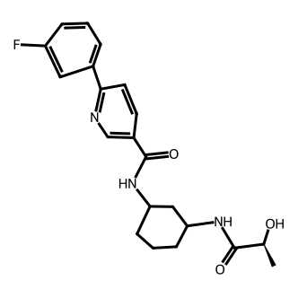 C[C@H](O)C(=O)NC1CCCC(NC(=O)c2ccc(-c3cccc(F)c3)nc2)C1